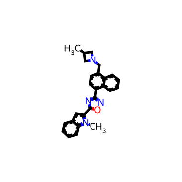 CC1CN(Cc2ccc(-c3noc(-c4cc5ccccc5n4C)n3)c3ccccc23)C1